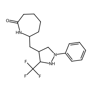 O=C1CCCCC(CC2CN(c3ccccc3)NC2C(F)(F)F)N1